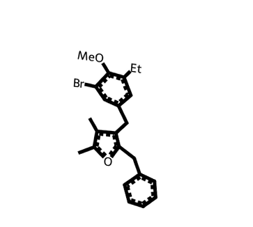 CCc1cc(Cc2c(Cc3ccccc3)oc(C)c2C)cc(Br)c1OC